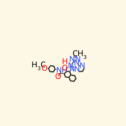 COc1ccc(NC(=O)c2cc3ccccc3c(/N=N/c3nc(C)nn3-c3ncccn3)c2O)cc1